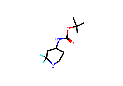 CC(C)(C)OC(=O)NC1CCNC(F)(F)C1